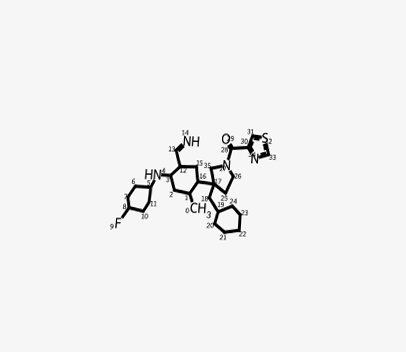 CC1CC(NC2CCC(F)CC2)C(C=N)CC1C1(CC2CCCCC2)CCN(C(=O)c2cscn2)C1